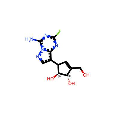 Nc1nc(F)nc2c(C3C=C(CO)[C@H](O)[C@H]3O)cnn12